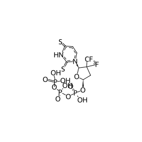 O=P(O)(O)OP(=O)(O)OP(=O)(O)O[C@@H]1CC(F)(C(F)(F)F)[C@H](n2ccc(=S)[nH]c2=S)O1